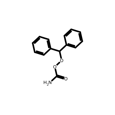 NC(=O)OOC(c1ccccc1)c1ccccc1